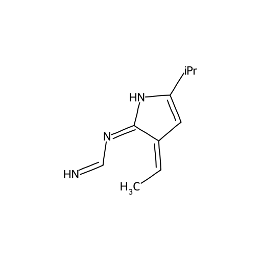 C/C=C1/C=C(C(C)C)N/C1=N/C=N